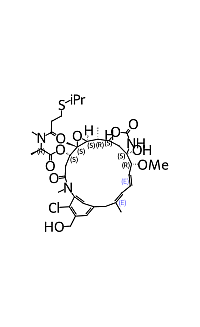 CO[C@@H]1/C=C/C=C(\C)Cc2cc(CO)c(Cl)c(c2)N(C)C(=O)C[C@H](OC(=O)[C@@H](C)N(C)C(=O)CCSC(C)C)[C@]2(C)O[C@H]2[C@H](C)[C@@H]2C[C@@]1(O)NC(=O)O2